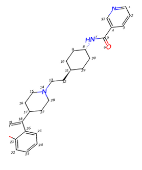 Cc1ccc(C(=O)N[C@H]2CC[C@H](CCN3CCC(c4coc5ccccc45)CC3)CC2)cn1